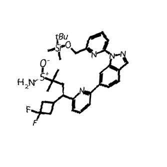 CC(C)(C[C@@H](c1cccc(-c2ccc3cnn(-c4cccc(CO[Si](C)(C)C(C)(C)C)n4)c3c2)n1)C1CC(F)(F)C1)[S@+](N)[O-]